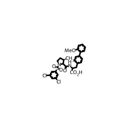 COc1ccccc1-c1ccc(CC(NC(=O)C2[C@H](C)CCN2S(=O)(=O)c2cc(Cl)cc(Cl)c2)C(=O)O)cc1